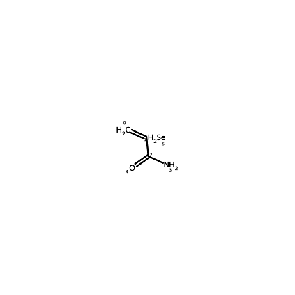 C=CC(N)=O.[SeH2]